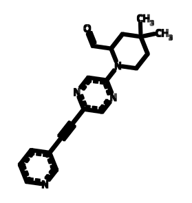 CC1(C)CCN(c2cnc(C#Cc3cccnc3)cn2)C(C=O)C1